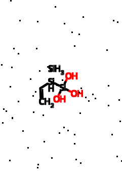 C=C[SiH]([SiH3])[Si](O)(O)O